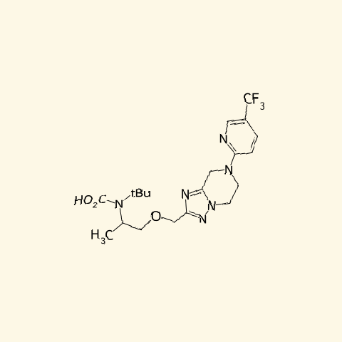 CC(COCc1nc2n(n1)CCN(c1ccc(C(F)(F)F)cn1)C2)N(C(=O)O)C(C)(C)C